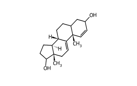 C[C@]12C=CC(O)CC1CC[C@@H]1C2=CC[C@]2(C)C(O)CC[C@@H]12